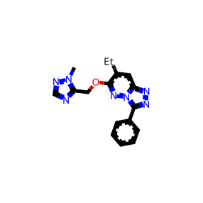 CCc1cc2nnc(-c3ccccc3)n2nc1OCc1ncnn1C